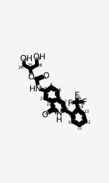 O=C(Nc1ccc2cc(-c3ccccc3C(F)(F)F)[nH]c(=O)c2c1)OC(CO)CO